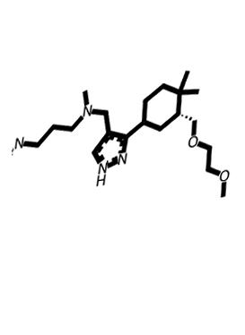 COCCOC[C@@H]1CC(c2n[nH]cc2CN(C)CCCN)CCC1(C)C